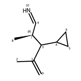 C=C(C)C(C1CC1)[C@@H](C)C=N